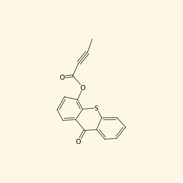 CC#CC(=O)Oc1cccc2c(=O)c3ccccc3sc12